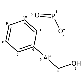 O=P[O-].O[CH2][Al+][c]1ccccc1